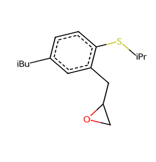 CCC(C)c1ccc(SC(C)C)c(CC2CO2)c1